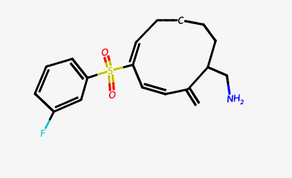 C=C1/C=C\C(S(=O)(=O)c2cccc(F)c2)=C/CCCCC1CN